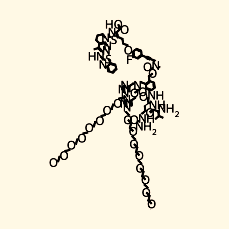 COCCOCCOCCOCCOCCOCCOCCOCCn1cc(COC(=O)N(Cc2cn(CCOCCOCCOCCOCCOCCOCCOCCOC)nn2)Cc2cc(NC(=O)[C@H](CCCNC(N)=O)NC(=O)[C@@H](N)C(C)C)ccc2COC(=O)N(C)CC#Cc2ccc(OCCCc3sc(N4CCCc5c4nnc(Nc4nc6ccccc6s4)c5C)nc3C(=O)O)c(F)c2)nn1